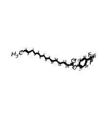 CCCCCCCCCCCCCCCC(=O)Oc1ccc(C(F)(F)F)cc1